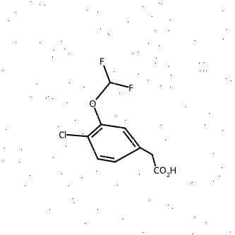 O=C(O)Cc1ccc(Cl)c(OC(F)F)c1